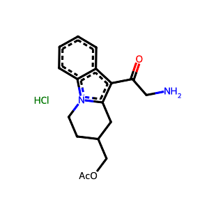 CC(=O)OCC1CCn2c(c(C(=O)CN)c3ccccc32)C1.Cl